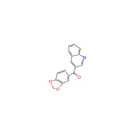 O=C(c1ccc2c(c1)OCO2)c1cnc2ccccc2c1